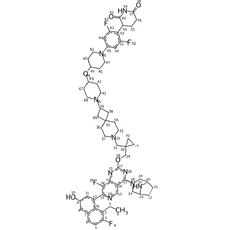 CCc1c(F)ccc2cc(O)cc(-c3ncc4c(N5CC6CCC(C5)N6)nc(OCC5(CN6CCC7(CC6)CC(N6CCC(OC8CCN(c9cc(F)c(C%10CCC(=O)NC%10=O)c(F)c9)CC8)CC6)C7)CC5)nc4c3F)c12